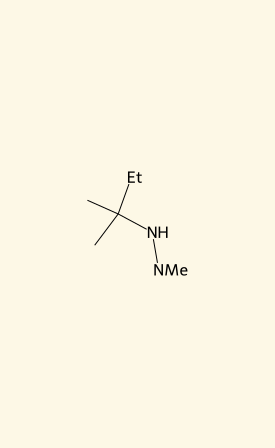 CCC(C)(C)NNC